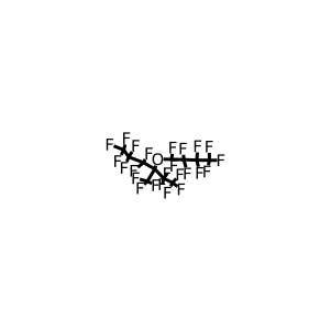 FC(F)(F)C(F)(F)C(F)(F)C(F)(F)OC(C(F)(F)F)(C(F)(F)C(F)(F)F)C(F)(F)C(F)(F)C(F)(F)F